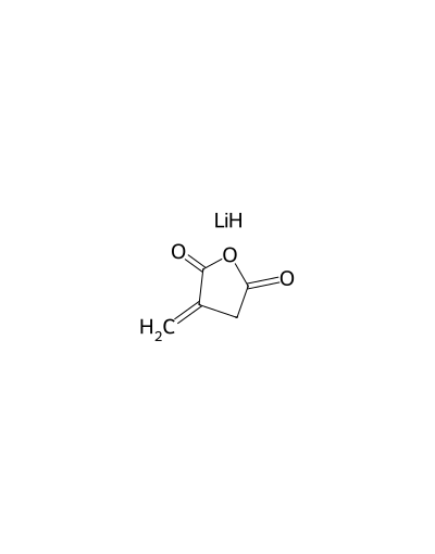 C=C1CC(=O)OC1=O.[LiH]